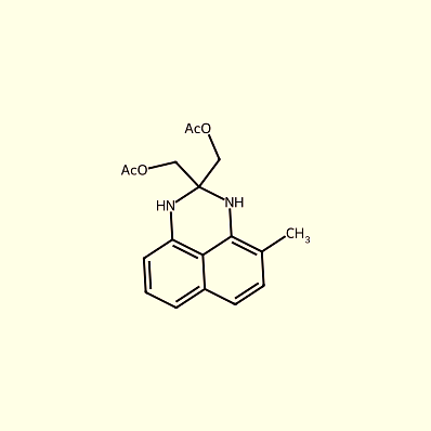 CC(=O)OCC1(COC(C)=O)Nc2cccc3ccc(C)c(c23)N1